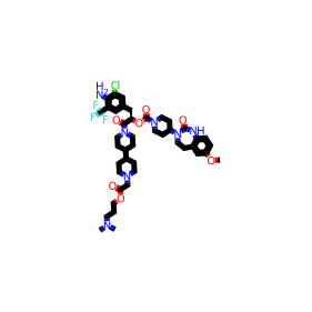 COc1ccc2c(c1)CCN(C1CCN(C(=O)O[C@H](Cc3cc(Cl)c(N)c(C(F)(F)F)c3)C(=O)N3CCC(C4CCN(CC(=O)OCCCN(C)C)CC4)CC3)CC1)C(=O)N2